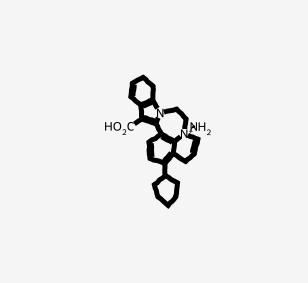 N[N@+]12C=CCc3c(C4CCCCC4)ccc(c31)-c1c(C(=O)O)c3c(n1CC2)CCC=C3